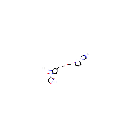 Cn1c(=O)n(C2CCC(=O)NC2=O)c2ccc(CCCOCCOc3cccc(N4C[C@H]5C[C@@H]4CN5C(=O)O)n3)cc21